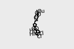 CC(C)(C)OC(=O)N1CCCN(CCc2ccc(S(=O)(=O)Nc3ccc(Cl)c4c(Cl)c[nH]c34)cc2)CC1